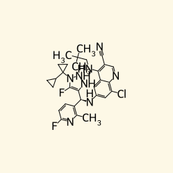 Cc1nc(F)ccc1[C@H](Nc1cc(Cl)c2ncc(C#N)c(NCC(C)(C)C)c2c1)C1=C(F)N(C2(C3CC3)CC2)NN1